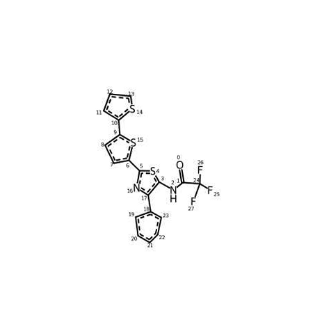 O=C(Nc1sc(-c2ccc(-c3cccs3)s2)nc1-c1ccccc1)C(F)(F)F